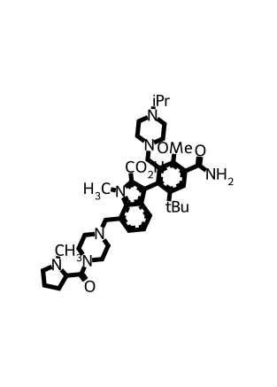 COc1c(C(N)=O)cc(C(C)(C)C)c(-c2c(C(=O)O)n(C)c3c(CN4CCN(C(=O)C5CCCN5C)CC4)cccc23)c1CN1CCN(C(C)C)CC1